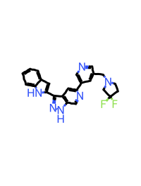 FC1(F)CCN(Cc2cncc(-c3cc4c(-c5cc6ccccc6[nH]5)n[nH]c4cn3)c2)C1